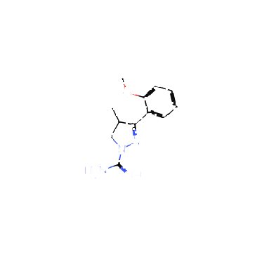 COc1ccccc1C1=NN(C(=N)N)CC1C